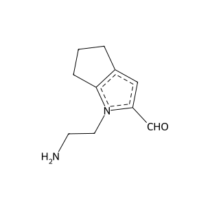 NCCn1c(C=O)cc2c1CCC2